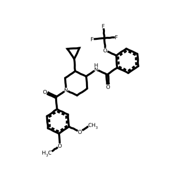 COc1ccc(C(=O)N2CCC(NC(=O)c3ccccc3OC(F)(F)F)C(C3CC3)C2)cc1OC